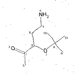 CC(=O)C(CCN)OC(C)(C)C